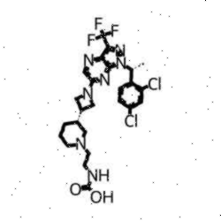 C[C@H](c1ccc(Cl)cc1Cl)n1nc(C(F)(F)F)c2ncc(N3CC([C@H]4CCCN(CCNC(=O)O)C4)C3)nc21